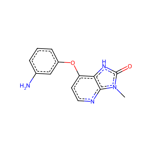 Cn1c(=O)[nH]c2c(Oc3cccc(N)c3)ccnc21